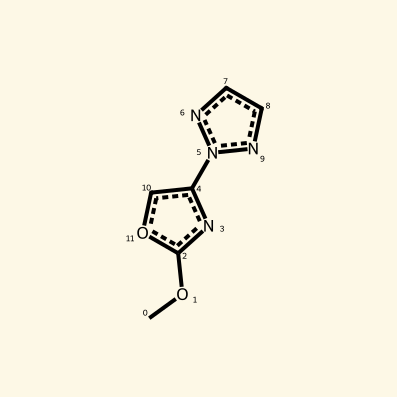 COc1nc(-n2nccn2)co1